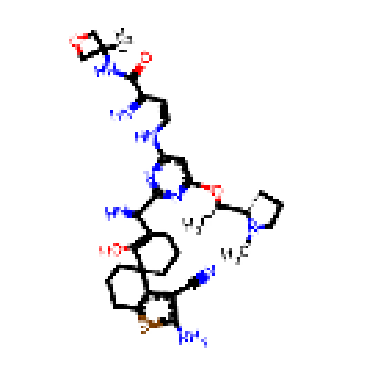 C[C@H](Oc1cc(N/C=C\C(=N)C(=O)NC2(C)COC2)nc(C(=N)C2=C(O)[C@@]3(CCC2)CCCc2sc(N)c(C#N)c23)n1)[C@@H]1CCCN1C